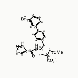 COC[C@H](C[C@@H](Cc1ccc(-c2cccc(Br)c2)cc1)NC(=O)c1cnn[nH]1)C(=O)O